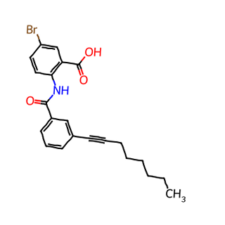 CCCCCCC#Cc1cccc(C(=O)Nc2ccc(Br)cc2C(=O)O)c1